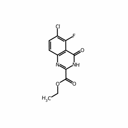 CCOC(=O)c1nc2ccc(Cl)c(F)c2c(=O)[nH]1